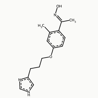 CC(=NO)c1ccc(OCCCc2c[nH]cn2)cc1C